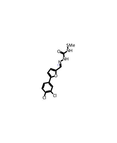 CSNC(=O)N/N=C/c1ccc(-c2ccc(Cl)c(Cl)c2)o1